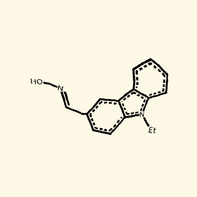 CCn1c2ccccc2c2cc(C=NO)ccc21